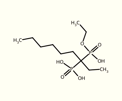 CCCCCCC(CC)(P(=O)(O)O)P(=O)(O)OCC